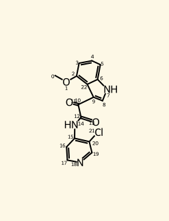 COc1cccc2[nH]cc(C(=O)C(=O)Nc3ccncc3Cl)c12